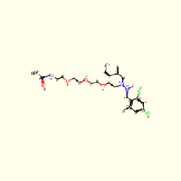 C=C(/C=C\CC)CN(CCOCCOCCOCCNC(=O)CCC)N(C)Cc1c(C)cc(Cl)cc1Cl